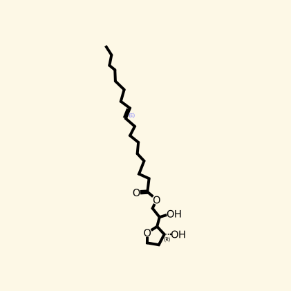 CCCCCCC/C=C/CCCCCCCC(=O)OCC(O)C1OCC[C@H]1O